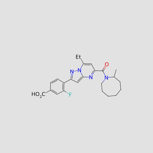 CCc1cc(C(=O)N2CCCCCCC2C)nc2cc(-c3ccc(C(=O)O)cc3F)nn12